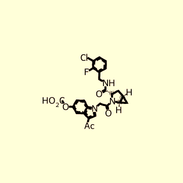 CC(=O)c1cn(CC(=O)N2[C@@H]3C[C@@H]3C[C@H]2C(=O)NCc2cccc(Cl)c2F)c2ccc(OC(=O)O)cc12